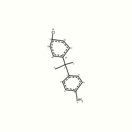 CC(C)(c1ccc([SiH3])cc1)c1ccc(Cl)cc1